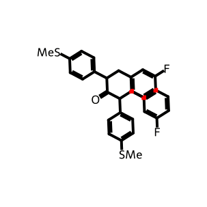 CSc1ccc(C(Cc2cccc(F)c2)C(=O)C(Cc2cccc(F)c2)c2ccc(SC)cc2)cc1